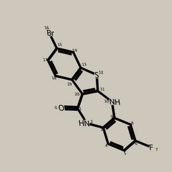 O=C1Nc2ccc(F)cc2Nc2sc3cc(Br)ccc3c21